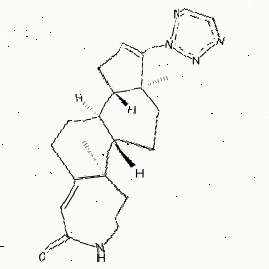 C[C@]12CCNC(=O)C=C1CC[C@@H]1[C@@H]2CC[C@]2(C)C(n3ncnn3)=CC[C@@H]12